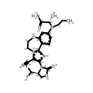 CCCN(c1ccc2c(c1)OCCn1c-2nc(N2C(=O)OC[C@H]2C(F)F)c1C#N)[C@@H](C)C(N)=O